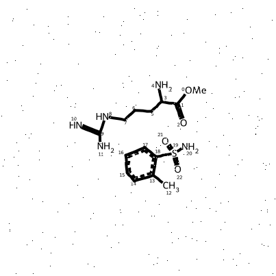 COC(=O)C(N)CCCNC(=N)N.Cc1ccccc1S(N)(=O)=O